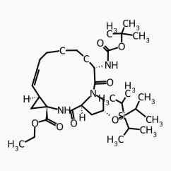 CCOC(=O)[C@@]12C[C@H]1C=CCCCCC[C@H](NC(=O)OC(C)(C)C)C(=O)N1C[C@H](O[Si](C(C)C)(C(C)C)C(C)C)C[C@H]1C(=O)N2